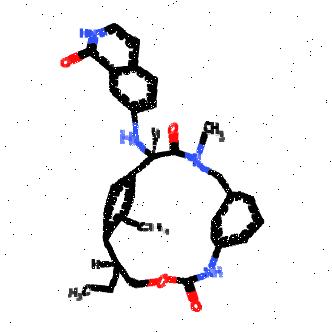 CC[C@H]1COC(=O)Nc2cccc(c2)CN(C)C(=O)[C@H](Nc2ccc3cc[nH]c(=O)c3c2)c2ccc1c(C)c2